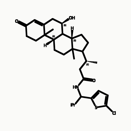 CC(C)C(NC(=O)C[C@@H](C)C1CC[C@H]2C3[C@H](O)CC4=CC(=O)CCC4(C)[C@H]3CCC12C)c1ccc(Cl)s1